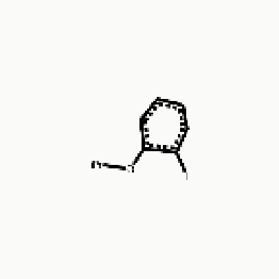 CC(C)Oc1ccccc1I